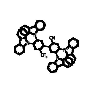 N#Cc1cc(-n2c3ccccc3c3ccccc32)c(-n2c3ccccc3c3ccccc32)cc1-c1cc(-n2c3ccccc3c3ccccc32)c(-n2c3ccccc3c3ccccc32)cc1C(F)(F)F